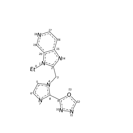 CCn1c(Cn2ccnc2-c2nnco2)nc2ccncc21